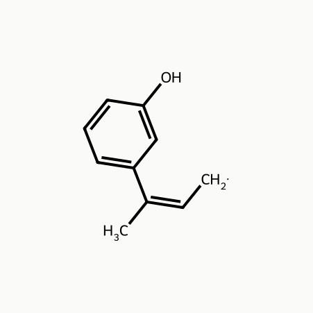 [CH2]/C=C(/C)c1cccc(O)c1